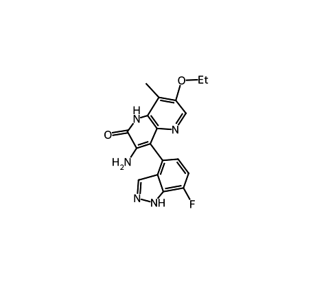 CCOc1cnc2c(-c3ccc(F)c4[nH]ncc34)c(N)c(=O)[nH]c2c1C